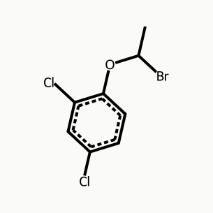 CC(Br)Oc1ccc(Cl)cc1Cl